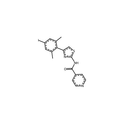 Cc1cc(I)cc(C)c1-c1csc(NC(=O)c2ccncc2)n1